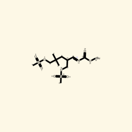 CC(C)(COS(C)(=O)=O)CC(/C=N/C(=O)OC(C)(C)C)COS(C)(=O)=O